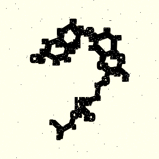 CC(C)COC(=O)NCCOC(=O)C(C)Oc1ccc(Oc2cnc3cc(Cl)ccc3n2)cc1